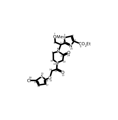 CCOC(=O)c1csc(C(COC)N2CCN(C(=O)COc3ccc(Cl)s3)CC2=O)n1